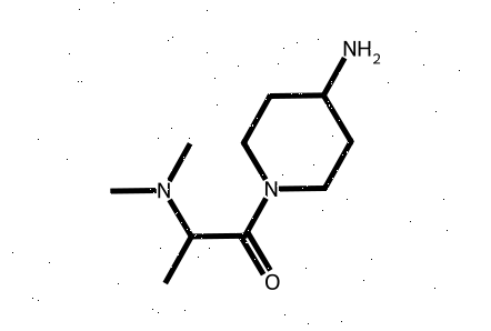 CC(C(=O)N1CCC(N)CC1)N(C)C